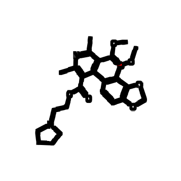 COC(=O)c1c(-c2c(C(=O)OC)c(C)nc(C)c2C(=O)OCCN2CCCC2)ccc2c1OCO2